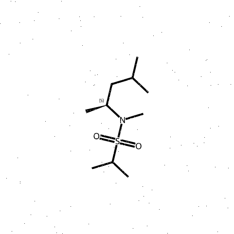 CC(C)C[C@H](C)N(C)S(=O)(=O)C(C)C